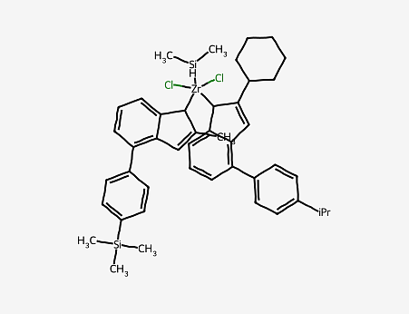 CC1=Cc2c(-c3ccc([Si](C)(C)C)cc3)cccc2[CH]1[Zr]([Cl])([Cl])([CH]1C(C2CCCCC2)=Cc2c(-c3ccc(C(C)C)cc3)cccc21)[SiH](C)C